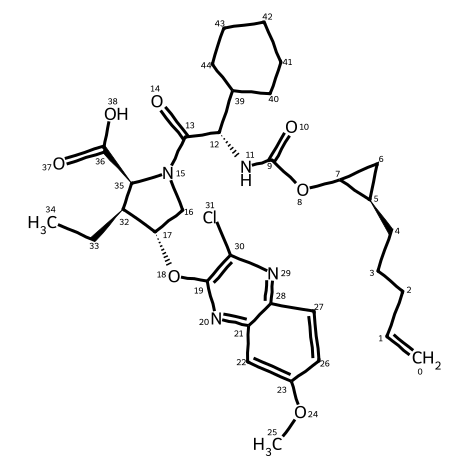 C=CCCC[C@@H]1CC1OC(=O)N[C@H](C(=O)N1C[C@H](Oc2nc3cc(OC)ccc3nc2Cl)[C@@H](CC)[C@H]1C(=O)O)C1CCCCC1